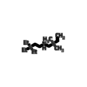 C=C[Si](C)(C)CNCC[Si](CC)(CC)CC